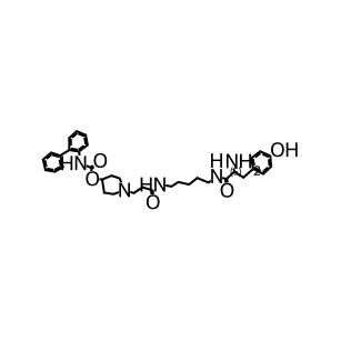 N[C@@H](Cc1ccc(O)cc1)C(=O)NCCCCCNC(=O)CCN1CCC(OC(=O)Nc2ccccc2-c2ccccc2)CC1